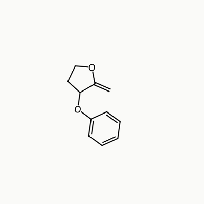 C=C1OCCC1Oc1ccccc1